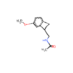 COc1ccc2c(c1)C(CNC(C)=O)C2